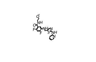 COCCNC(=O)c1cc(NCc2cnc(Nc3ccccn3)s2)c(F)cc1F